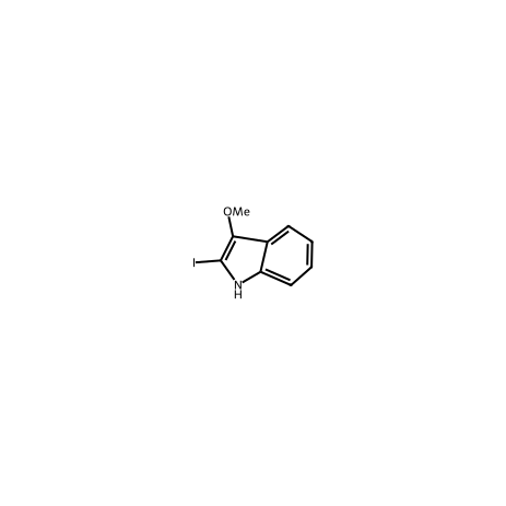 COc1c(I)[nH]c2ccccc12